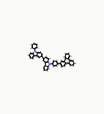 C1=CC2c3cc(-c4ccc5c(c4)c4ccccc4n5-c4ccccc4)ccc3N(c3ccc(-c4ccc5c6ccccc6c6ccccc6c5c4)cc3)C2C=C1